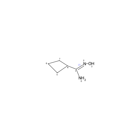 N/C(=N\O)C1CCC1